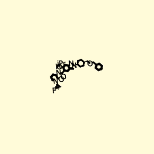 CC(C)Oc1cc2nn([C@H]3CC[C@H](COCc4ccccc4)CC3)cc2cc1C(=O)Nc1cccn(C2C[C@H]2F)c1=O